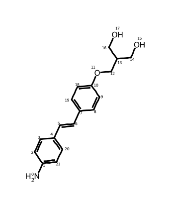 Nc1ccc(C=Cc2ccc(OCC(CO)CO)cc2)cc1